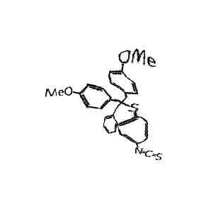 COc1ccc(C(Sc2ccc(N=C=S)cc2)(c2ccccc2)c2ccc(OC)cc2)cc1